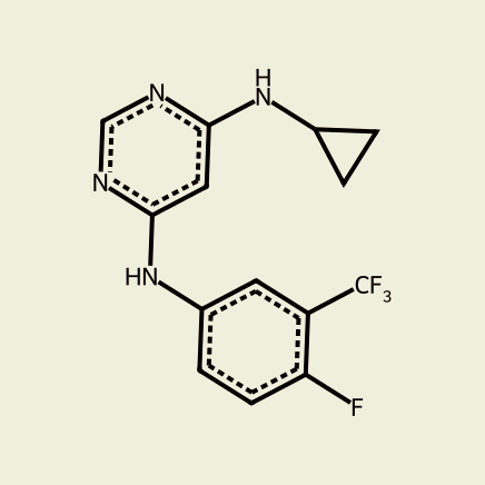 Fc1ccc(Nc2cc(NC3CC3)ncn2)cc1C(F)(F)F